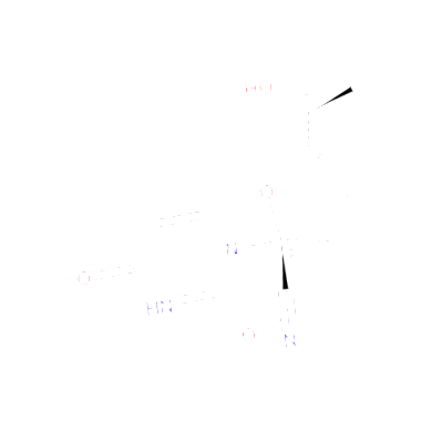 C[C@H](O)[C@@H]1CC[C@](C#N)(n2ccc(=O)[nH]c2=O)O1